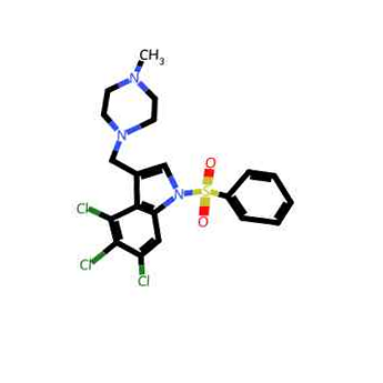 CN1CCN(Cc2cn(S(=O)(=O)c3ccccc3)c3cc(Cl)c(Cl)c(Cl)c23)CC1